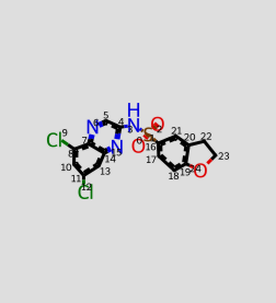 O=S(=O)(Nc1cnc2c(Cl)cc(Cl)cc2n1)c1ccc2c(c1)CCO2